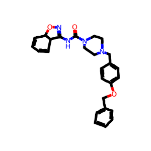 O=C(NC1=NOC2C=CC=CC12)N1CCN(Cc2ccc(OCc3ccccc3)cc2)CC1